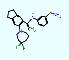 C=C(Nc1cccc(SN)c1)c1cc2c(cc1N1CCCC(F)(F)CC1)CCC2